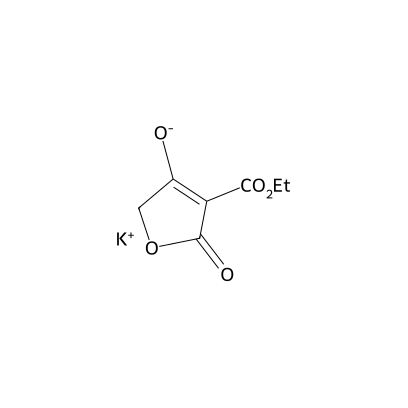 CCOC(=O)C1=C([O-])COC1=O.[K+]